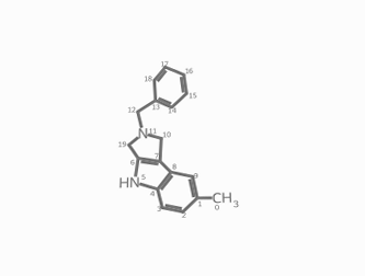 Cc1ccc2[nH]c3c(c2c1)CN(Cc1ccccc1)C3